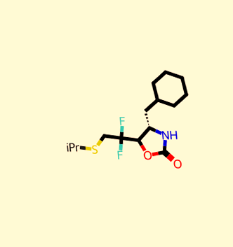 CC(C)SCC(F)(F)C1OC(=O)N[C@H]1CC1CCCCC1